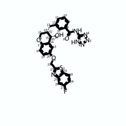 O=C(Nc1nnn[nH]1)c1cccc(C[C@H]2COc3ccc(OCc4nc5cc(F)ccc5s4)cc3[C@H]2O)c1